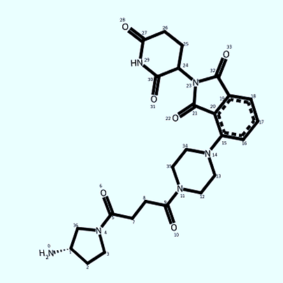 N[C@H]1CCN(C(=O)CCC(=O)N2CCN(c3cccc4c3C(=O)N(C3CCC(=O)NC3=O)C4=O)CC2)C1